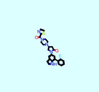 O=C(c1nccs1)N1CCN(C2CC(=O)N(c3cc(-c4ccccc4F)c4[nH]ccc4c3)C2)CC1